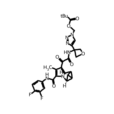 Cc1c(C(=O)C(=O)NC2(c3cn(COC(=O)C(C)(C)C)nn3)COC2)c2n(c1C(=O)Nc1ccc(F)c(F)c1)[C@@H]1C3C2[C@@H]31